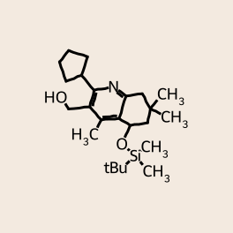 Cc1c(CO)c(C2CCCC2)nc2c1C(O[Si](C)(C)C(C)(C)C)CC(C)(C)C2